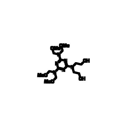 COCN(COC)c1nc(N(CCO)CCO)nc(N(COC)COC)n1